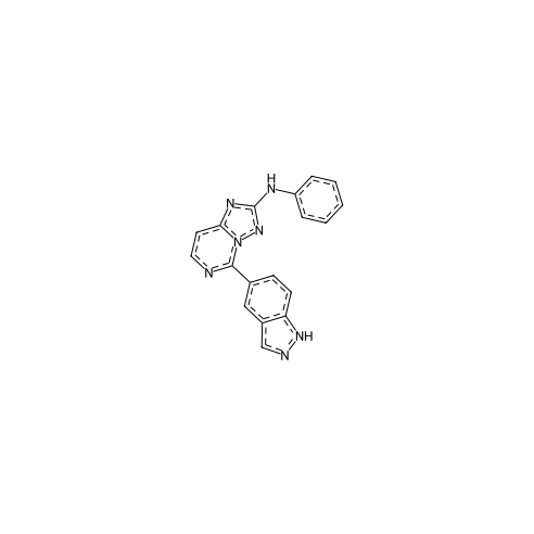 c1ccc(Nc2nc3ccnc(-c4ccc5[nH]ncc5c4)n3n2)cc1